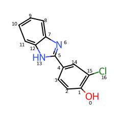 Oc1ccc(-c2nc3ccccc3[nH]2)cc1Cl